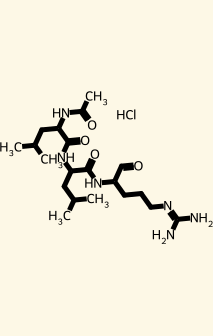 CC(=O)NC(CC(C)C)C(=O)NC(CC(C)C)C(=O)NC(C=O)CCCN=C(N)N.Cl